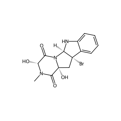 CN1C(=O)[C@]2(O)C[C@]3(Br)c4ccccc4N[C@@H]3N2C(=O)[C@H]1O